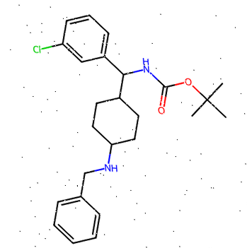 CC(C)(C)OC(=O)NC(c1cccc(Cl)c1)C1CCC(NCc2ccccc2)CC1